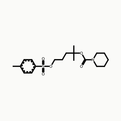 Cc1ccc(S(=O)(=O)OCCCC(C)(C)OC(=O)N2CCCCC2)cc1